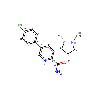 C[C@H]1[C@@H](c2cc(-c3ccc(F)cc3)cnc2C(N)=O)CCN1C#N